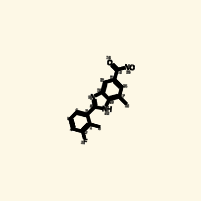 Cc1c(F)cccc1-c1nc2cc(C(=O)N=O)cc(C)c2[nH]1